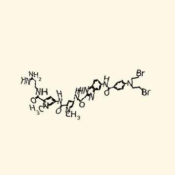 Cn1cc(NC(=O)c2cc(NC(=O)c3nc4cc(NC(=O)c5ccc(N(CCBr)CCBr)cc5)ccc4[nH]3)cn2C)cc1C(=O)NCCC(=N)N